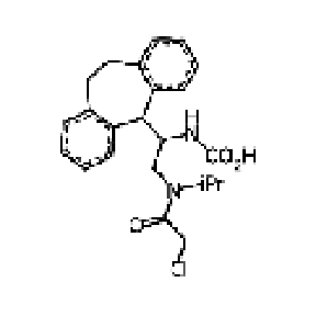 CC(C)N(CC(NC(=O)O)C1c2ccccc2CCc2ccccc21)C(=O)CCl